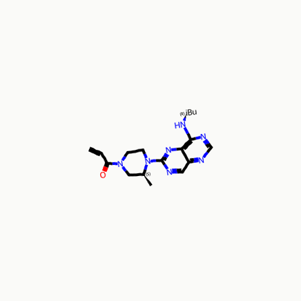 C=CC(=O)N1CCN(c2ncc3ncnc(N[C@H](C)CC)c3n2)[C@@H](C)C1